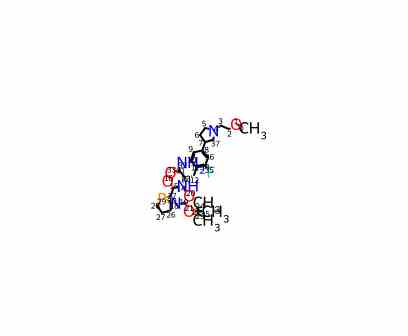 COCCN1CCC(c2ccc(C[C@H](NC(=O)C3N(C(=O)OC(C)(C)C)C4CCP3C4)C(N)=O)c(F)c2)C1